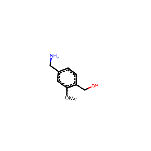 COc1cc(CN)ccc1CO